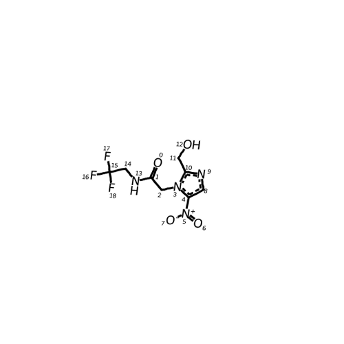 O=C(Cn1c([N+](=O)[O-])cnc1CO)NCC(F)(F)F